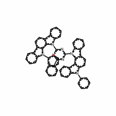 c1ccc(-c2nc(-n3c4ccccc4c4ccc5c(c6ccccc6n5-c5ccccc5)c43)nc(-n3c4ccccc4c4ccc5c6ccccc6n(-c6ccccc6)c5c43)n2)cc1